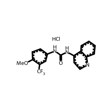 COc1ccc(NC(=O)Nc2ccnc3ccccc23)cc1C(F)(F)F.Cl